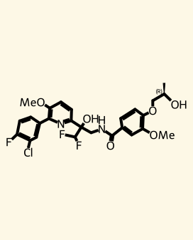 COc1cc(C(=O)NCC(O)(c2ccc(OC)c(-c3ccc(F)c(Cl)c3)n2)C(F)F)ccc1OC[C@@H](C)O